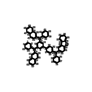 c1ccc(N(c2cc(-c3ccc(N(c4ccccc4)c4ccc5oc6ccccc6c5c4)cc3)cc(N(c3ccccc3)c3ccc4ccccc4c3)c2)c2ccc3ccccc3c2)cc1